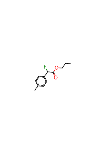 CCCOC(=O)C(F)c1ccc(C)cc1